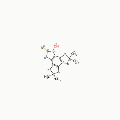 CC1(C)Cc2c(c3c(c4c2CC(C)(C)C4)C(O)C(Br)C3)C1